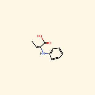 CC=C(Nc1ccccc1)C(=O)O